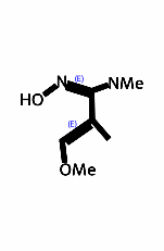 CNC(=N/O)/C(C)=C/OC